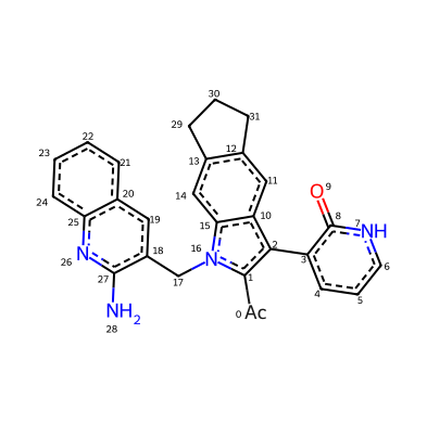 CC(=O)c1c(-c2ccc[nH]c2=O)c2cc3c(cc2n1Cc1cc2ccccc2nc1N)CCC3